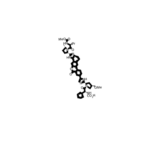 COC[C@H]1C[C@@H](c2ncc(-c3ccc4c(c3)c(=O)oc3cc5c(ccc6nc([C@@H]7CC[C@H](C)N7C(=O)[C@@H](NC(=O)OC)C(C)C)[nH]c65)cc34)[nH]2)N(C(=O)[C@H](NC(=O)O)c2ccccc2)C1